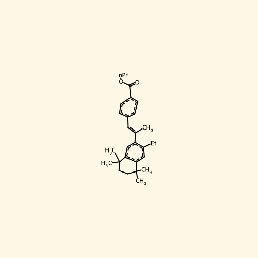 CCCOC(=O)c1ccc(C=C(C)c2cc3c(cc2CC)C(C)(C)CCC3(C)C)cc1